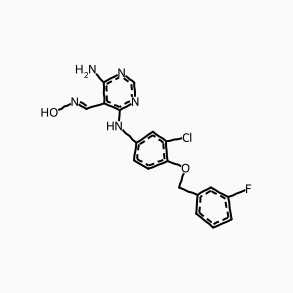 Nc1ncnc(Nc2ccc(OCc3cccc(F)c3)c(Cl)c2)c1/C=N/O